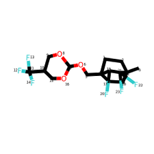 CC12CCC(COC3OCC(C(F)(F)F)CO3)(CC1)C(F)C2(F)F